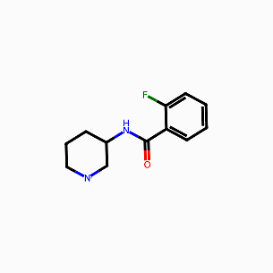 O=C(NC1CCC[N]C1)c1ccccc1F